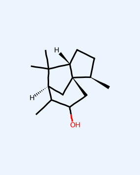 CC1C(O)C[C@@]23C[C@@H]1C(C)(C)[C@@H]2CC[C@H]3C